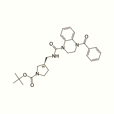 CC(C)(C)OC(=O)N1CC[C@H](CNC(=O)N2CCN(C(=O)c3ccccc3)c3ccccc32)C1